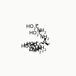 CN(C)C(=O)O.NC(=O)O.NC(=O)O.NC(=O)O.NC(=O)O.NC(=O)O.[Zn]